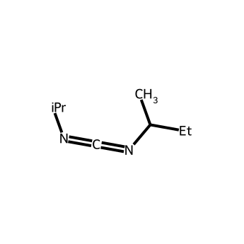 CCC(C)N=C=NC(C)C